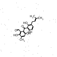 CC(C)=CCc1ccc(O)c(C(=O)c2c(O)cc(C)c(O)c2C=O)c1O